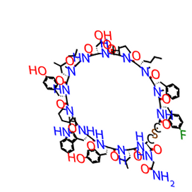 CCCC[C@H]1C(=O)N2CCC[C@@H]2C(=O)N[C@@H](CC(=O)O)C(=O)N[C@@H](C(C)C)C(=O)N(C)[C@@H](CC(C)C)C(=O)N[C@@H](Cc2ccc(O)cc2)C(=O)N2CCCC[C@@H]2C(=O)N[C@@H](Cc2c[nH]c3ccccc23)C(=O)N[C@@H](Cc2ccc(O)cc2)C(=O)N[C@@H](CC(C)C)C(=O)N[C@H](C(=O)NCC(N)=O)CSCC(=O)N[C@@H](Cc2ccc(F)cc2)C(=O)N(C)[C@@H](Cc2ccccc2)C(=O)N1C